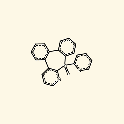 O=P1(c2ccccn2)c2ccccc2-c2ccccc2-c2cccnc21